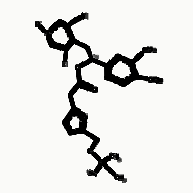 COc1ccc([C@H](Cc2c(Cl)c[n+]([O-])cc2Cl)OC(=O)Cc2ccc(CO[Si](C)(C)C(C)(C)C)s2)cc1OC